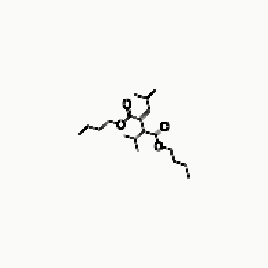 CCCCOC(=O)C(=CC(C)C)C(C(=O)OCCCC)C(C)C